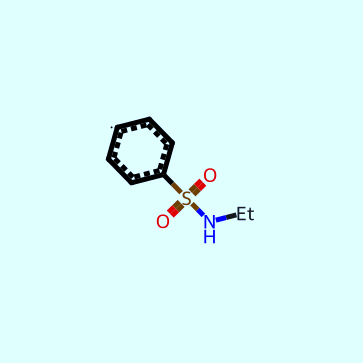 CCNS(=O)(=O)c1cc[c]cc1